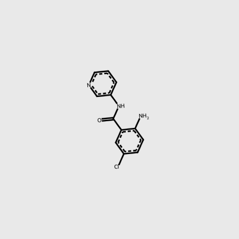 Nc1ccc(Cl)cc1C(=O)Nc1cccnc1